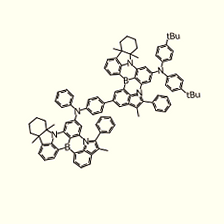 Cc1c(-c2ccccc2)n2c3c(cccc13)B1c3cccc4c3N(c3cc(N(c5ccccc5)c5ccc(-c6cc7c8c(c6)c(C)c(-c6ccccc6)n8-c6cc(N(c8ccc(C(C)(C)C)cc8)c8ccc(C(C)(C)C)cc8)cc8c6B7c6cccc7c6N8C6(C)CCCCC76C)cc5)cc-2c31)C1(C)CCCCC41C